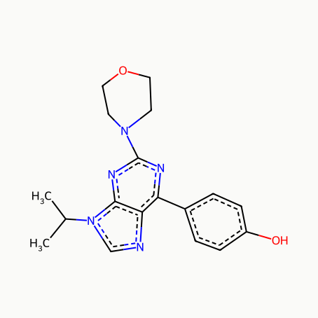 CC(C)n1cnc2c(-c3ccc(O)cc3)nc(N3CCOCC3)nc21